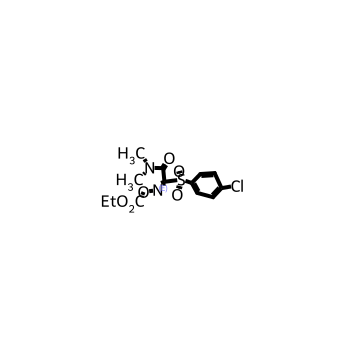 CCOC(=O)O/N=C(\C(=O)N(C)C)S(=O)(=O)c1ccc(Cl)cc1